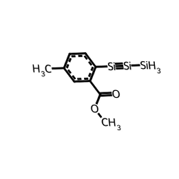 COC(=O)c1cc(C)ccc1[Si]#[Si][SiH3]